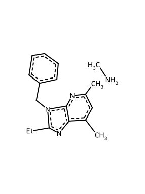 CCc1nc2c(C)cc(C)nc2n1Cc1ccccc1.CN